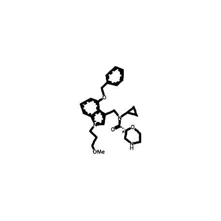 COCCCn1cc(CN(C(=O)[C@H]2CNCCO2)C2CC2)c2c(OCc3ccccc3)cccc21